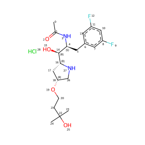 CC(=O)N[C@@H](Cc1cc(F)cc(F)c1)[C@H](O)[C@H]1C[C@@H](OCCC(C)(C)O)CN1.Cl